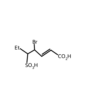 CCC(C(Br)C=CC(=O)O)S(=O)(=O)O